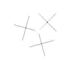 C[C](C)(C)[Zn-]([C](C)(C)C)[C](C)(C)C.[Li+]